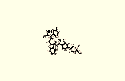 Cc1ccc2c(c1)c(C(N)=O)c1n2C[C@@](NC(=O)c2ccc(-c3ccc(=O)n(C)c3)cc2Cl)(c2ccccc2)CC1